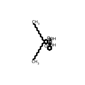 CCCCCCCCCCCCc1cc(S(=O)(=O)O)c(S(=O)(=O)O)c(Oc2ccccc2)c1CCCCCCCCCCCC